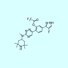 CN(c1ncc(-c2ccc(-c3n[nH]cc3F)cc2OC(=O)C(F)(F)F)nn1)C1CC(C)(C)NC(C)(C)C1